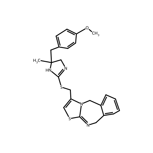 COc1ccc(CC2(C)CN=C(SCC3=CSC4=NCc5ccccc5CN34)N2)cc1